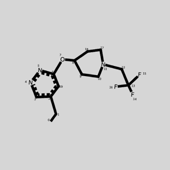 CCc1cnnc(OC2CCN(CC(F)(F)F)CC2)c1